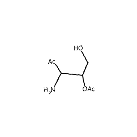 CC(=O)OC(CO)C(N)C(C)=O